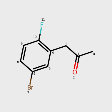 CC(=O)Cc1cc(Br)ccc1F